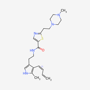 C=C/C=C\c1c(CCNC(=O)c2cnc(CCN3CCN(C)CC3)s2)c[nH]c1C